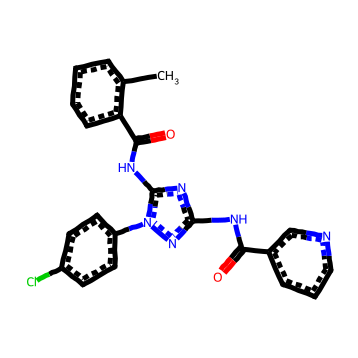 Cc1ccccc1C(=O)Nc1nc(NC(=O)c2cccnc2)nn1-c1ccc(Cl)cc1